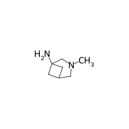 CN1CC2CC(N)(C2)C1